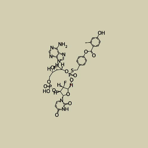 Cc1cc(O)ccc1C(=O)Oc1ccc(CS[P@]2(=O)OC[C@H]3O[C@@H](n4ccc(=O)[nH]c4=O)[C@H](OP(=O)(O)OC[C@H]4O[C@@H](n5cnc6c(N)ncnc65)[C@H](O2)[C@@H]4F)[C@@H]3F)cc1